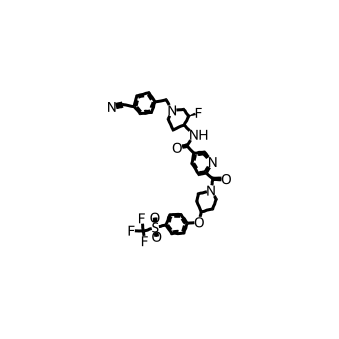 N#Cc1ccc(CN2CCC(NC(=O)c3ccc(C(=O)N4CCC(Oc5ccc(S(=O)(=O)C(F)(F)F)cc5)CC4)nc3)[C@H](F)C2)cc1